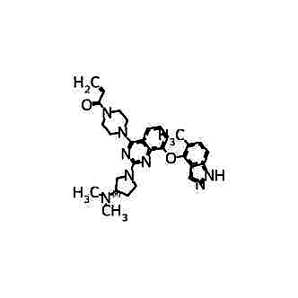 C=CC(=O)N1CCN(c2nc(N3CC[C@@H](N(C)C)C3)nc3c(Oc4c(C)ccc5[nH]ncc45)cccc23)CC1